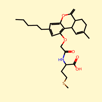 C=C1Oc2cc(CCCCC)cc(OCC(=O)NC(CCSC)C(=O)O)c2C2C=C(C)CCC12